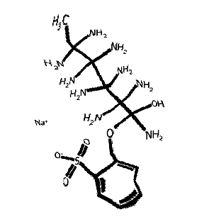 CC(N)(N)C(N)(N)C(N)(N)C(N)(N)C(N)(O)Oc1ccccc1S(=O)(=O)[O-].[Na+]